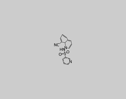 N#CC1=CC=CC2=CC=CN(NS(=O)(=O)c3cccnc3)C12